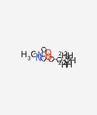 [2H]c1c([2H])c([2H])c(-c2ccc(-c3ccc(-c4ccc5nc(CC)n6c5c4S(=O)(=O)c4ccccc4-6)cc3)cc2)c([2H])c1[2H]